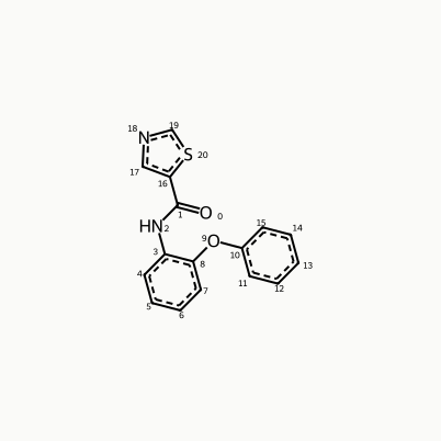 O=C(Nc1ccccc1Oc1ccccc1)c1cncs1